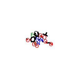 COCCOCN(C(=O)OC(C)(C)C)C1=NC2(c3ccccc3F)CCC(OC)CC2S(=O)(=O)N1C